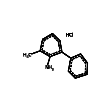 Cc1cccc(-c2ccccc2)c1N.Cl